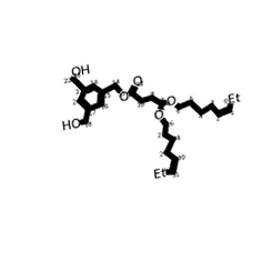 CC/C=C\CCCCOC(CCC(=O)OCc1cc(CO)cc(CO)c1)OCCCC/C=C\CC